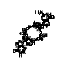 Nc1nc2c(ncn2C2O[C@@H]3COP(=O)(O)O[C@@H]4[C@@H](COP(=O)(S)O[C@@H]2[C@@H]3F)OC[C@@]4(F)n2nnc3c(=O)[nH]cnc32)c(=O)[nH]1